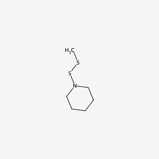 CSSN1CCCCC1